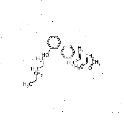 C=CC.C=CC.C=CC.C=CC.C=O.Oc1ccccc1.c1ccccc1